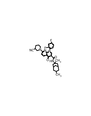 CC1CC2CC(C1)CC(C)(NC(=O)c1cn(-c3ccc(F)cc3F)c3nc(N4CCCC(C#N)C4)ccc3c1=O)C2